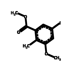 COC(=O)c1cc(I)cc(OC)c1C